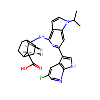 CC(C)n1ccc2c(N[C@H]3C4CCC(CC4)[C@@H]3C(=O)O)nc(-c3c[nH]c4ncc(F)cc34)cc21